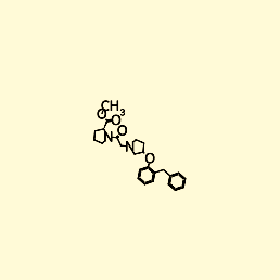 COC(=O)[C@@H]1CCCN1C(=O)CN1CC[C@H](Oc2ccccc2Cc2ccccc2)C1